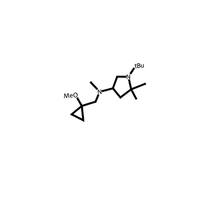 COC1(CN(C)C2CN(C(C)(C)C)C(C)(C)C2)CC1